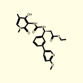 CCOC(=O)C[C@H](NC(=O)Nc1c(O)c(C)cn(C)c1=O)c1cccc(-c2ccc(OC)nc2)c1